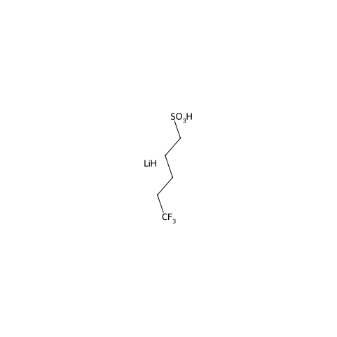 O=S(=O)(O)CCCCC(F)(F)F.[LiH]